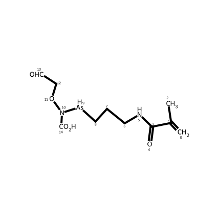 C=C(C)C(=O)NCCC[AsH]N(OCC=O)C(=O)O